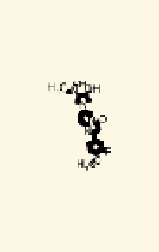 CCN(C)[C@@H]1CN(c2ccc3nc(-c4ccc(OC)c(F)c4)cc(=O)n3c2)C[C@H]1O